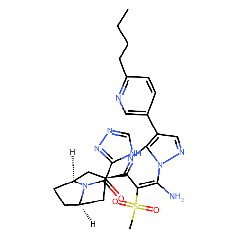 CCCCc1ccc(-c2cnn3c(N)c(S(C)(=O)=O)c([C@H]4C[C@H]5CC[C@@H](C4)N5C(=O)c4nnc[nH]4)nc23)cn1